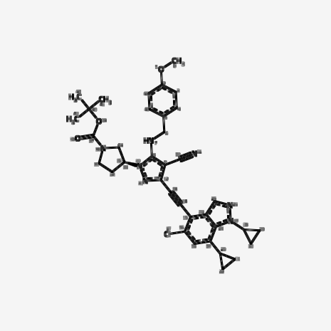 COc1ccc(CNc2c(C#N)c(C#Cc3c(Cl)cc(C4CC4)c4c3cnn4C3CC3)nn2[C@H]2CCN(C(=O)OC(C)(C)C)C2)cc1